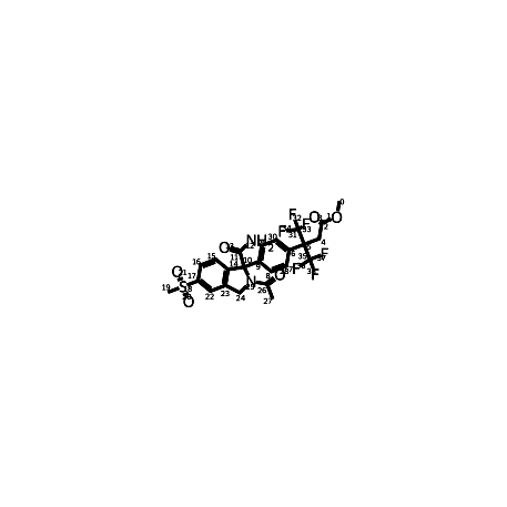 COC(=O)CC(c1ccc(C2(C(N)=O)c3ccc(S(C)(=O)=O)cc3CN2C(C)=O)cc1)(C(F)(F)F)C(F)(F)F